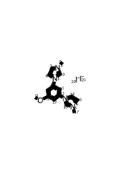 COc1cc(-n2cc[n+](C)c2)cc(-n2cc[n+](C)c2)c1.[I-].[I-]